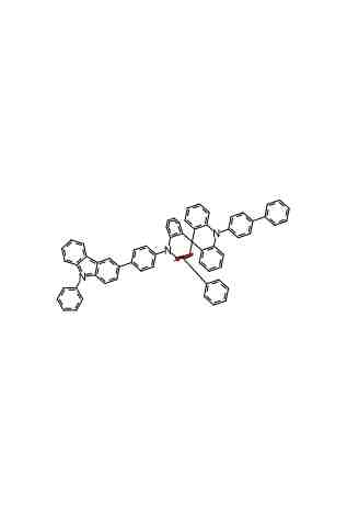 c1ccc(-c2ccc(N3c4ccccc4C4(c5ccccc53)c3ccccc3N(c3ccc(-c5ccc6c(c5)c5ccccc5n6-c5ccccc5)cc3)c3ccc(-c5ccccc5)cc34)cc2)cc1